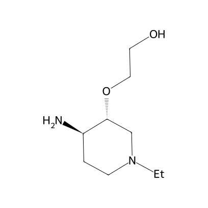 CCN1CC[C@@H](N)[C@H](OCCO)C1